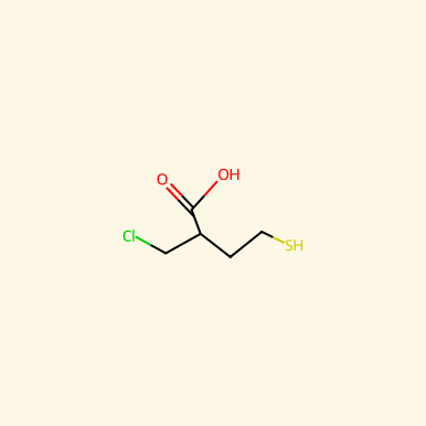 O=C(O)C(CCl)CCS